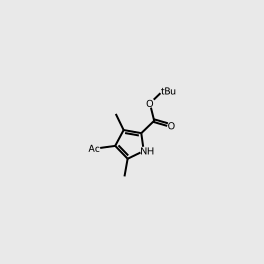 CC(=O)c1c(C)[nH]c(C(=O)OC(C)(C)C)c1C